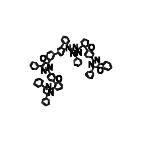 c1ccc(-c2cc(-c3ccccc3)nc(-c3cccc4oc5cc(-c6nc(-c7ccccc7)c7oc8ccc(-c9ccc%10c(c9)c9ccccc9n%10-c9nc(-c%10ccccc%10)nc(-c%10cccc%11oc%12cc(-c%13nc(-c%14ccccc%14)c%14oc%15ccccc%15c%14n%13)ccc%12c%10%11)n9)cc8c7n6)ccc5c34)n2)cc1